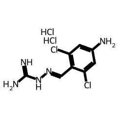 Cl.Cl.N=C(N)NN=Cc1c(Cl)cc(N)cc1Cl